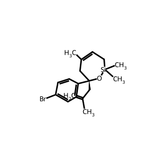 C=C(C)C[C@@]1(c2ccc(Br)cc2)CC(C)=CC[Si](C)(C)O1